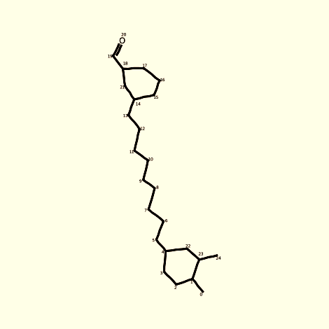 CC1CCC(CCCCCCCCCC2CCCC(C=O)C2)CC1C